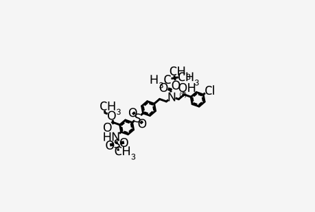 CCOC(=O)c1cc(S(=O)(=O)c2ccc(CCN(C[C@@H](O)c3cccc(Cl)c3)C(=O)OC(C)(C)C)cc2)ccc1NS(C)(=O)=O